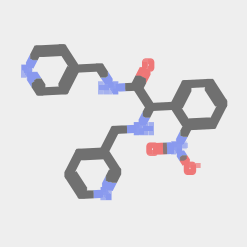 O=C(NCc1ccncc1)C(NCc1cccnc1)c1ccccc1[N+](=O)[O-]